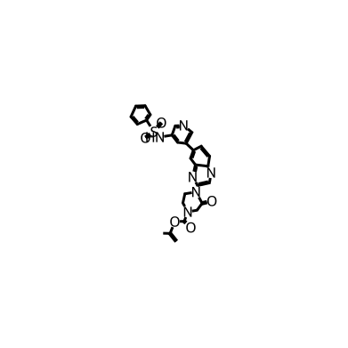 C=C(C)OC(=O)N1CCN(c2cnc3ccc(-c4cncc(NS(=O)(=O)c5ccccc5)c4)cc3n2)C(=O)C1